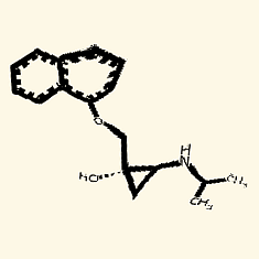 CC(C)NC1C[C@@]1(O)COc1cccc2ccccc12